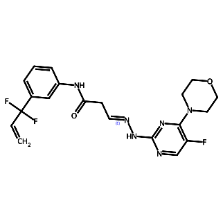 C=CC(F)(F)c1cccc(NC(=O)C/C=N/Nc2ncc(F)c(N3CCOCC3)n2)c1